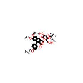 COc1ccc(-c2c3c(c(OC4OC(CO)C5OC(C)(C)OC5C4O)c4cc(OC)c(OC)cc24)COC3=O)cc1